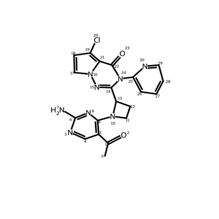 CC(=O)c1cnc(N)nc1N1CCC1c1nn2ccc(Cl)c2c(=O)n1-c1ccccn1